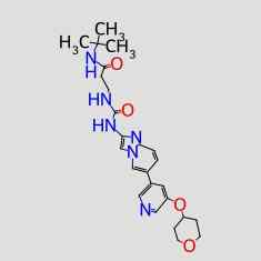 CC(C)(C)NC(=O)CCNC(=O)Nc1cn2cc(-c3cncc(OC4CCOCC4)c3)ccc2n1